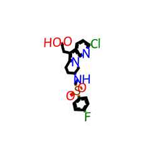 O=C(O)Cc1c2n(c3nc(Cl)ccc13)CC(NCS(=O)(=O)c1ccc(F)cc1)CC2